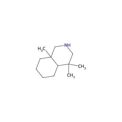 CC1(C)CNCC2(C)CCCCC12